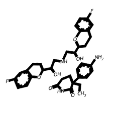 CCC1(c2ccc(N)cc2)CCC(=O)NC1=O.OC(CNCC(O)C1CCc2cc(F)ccc2O1)C1CCc2cc(F)ccc2O1